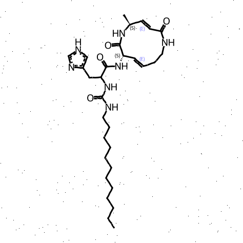 CCCCCCCCCCCCNC(=O)NC(Cc1c[nH]cn1)C(=O)N[C@H]1/C=C/CCNC(=O)/C=C/[C@H](C)NC1=O